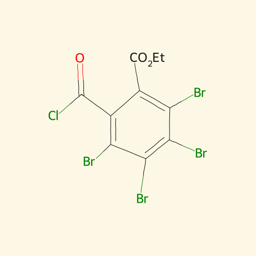 CCOC(=O)c1c(Br)c(Br)c(Br)c(Br)c1C(=O)Cl